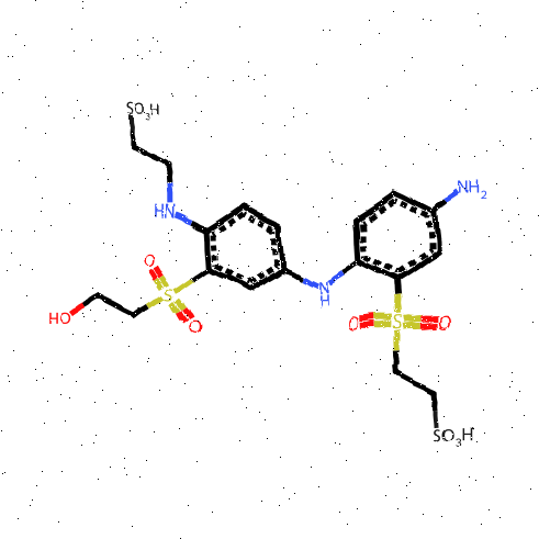 Nc1ccc(Nc2ccc(NCCS(=O)(=O)O)c(S(=O)(=O)CCO)c2)c(S(=O)(=O)CCS(=O)(=O)O)c1